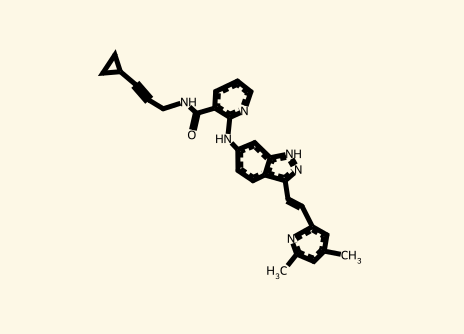 Cc1cc(C)nc(C=Cc2n[nH]c3cc(Nc4ncccc4C(=O)NCC#CC4CC4)ccc23)c1